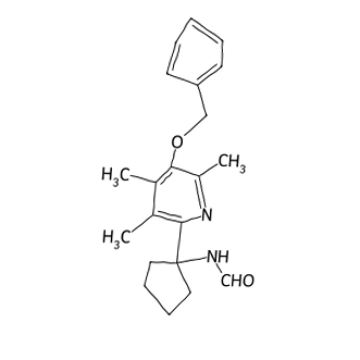 Cc1nc(C2(NC=O)CCCC2)c(C)c(C)c1OCc1ccccc1